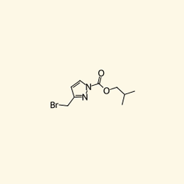 CC(C)COC(=O)n1ccc(CBr)n1